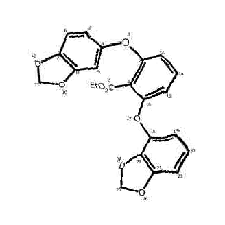 CCOC(=O)c1c(Oc2ccc3c(c2)OCO3)cccc1Oc1cccc2c1OCO2